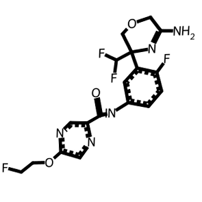 NC1=NC(c2cc(NC(=O)c3cnc(OCCF)cn3)ccc2F)(C(F)F)COC1